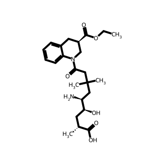 CCOC(=O)[C@@H]1Cc2ccccc2N(C(=O)CC(C)(C)C[C@H](N)[C@@H](O)C[C@@H](C)C(=O)O)C1